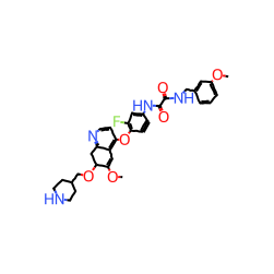 COC1=Cc2c(Oc3c#cc(NC(=O)C(=O)NCc4cccc(OC)c4)cc3F)ccnc2CC1OCC1CCNCC1